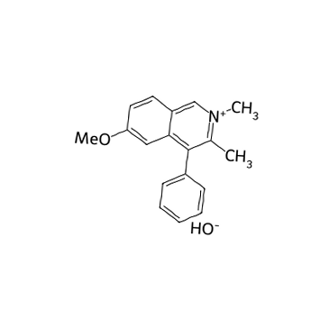 COc1ccc2c[n+](C)c(C)c(-c3ccccc3)c2c1.[OH-]